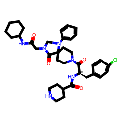 O=C(CN1CN(c2ccccc2)C2(CCN(C(=O)[C@@H](Cc3ccc(Cl)cc3)NC(=O)C3CCNCC3)CC2)C1=O)NC1CCCCC1